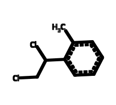 Cc1ccccc1C(Cl)CCl